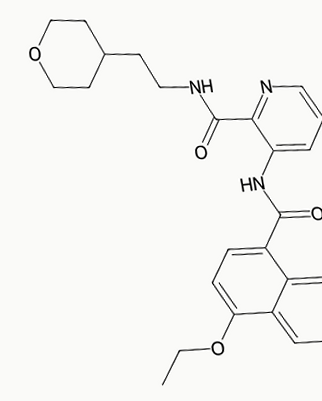 CCOc1ccc(C(=O)Nc2cccnc2C(=O)NCCC2CCOCC2)c2ccccc12